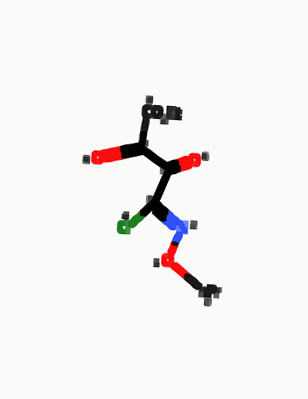 CCCON=C(Cl)C(=O)C(=O)C(=O)OCC